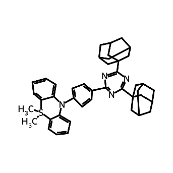 CS1(C)c2ccccc2N(c2ccc(-c3nc(C45CC6CC(CC(C6)C4)C5)nc(C45CC6CC(CC(C6)C4)C5)n3)cc2)c2ccccc21